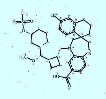 CO[C@H]([C@H]1CCC[C@@H](OS(C)(=O)=O)C1)[C@@H]1CC[C@H]1CN1CC2(CCCc3cc(Cl)ccc32)COc2ccc(C(=O)O)cc21